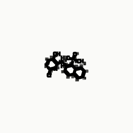 CP(C)(=O)c1c(Nc2nc(Cl)ncc2O)ccc2ccccc12